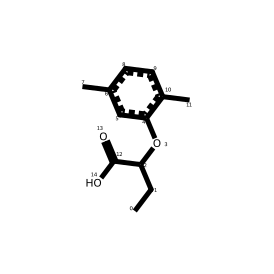 CCC(Oc1cc(C)ccc1C)C(=O)O